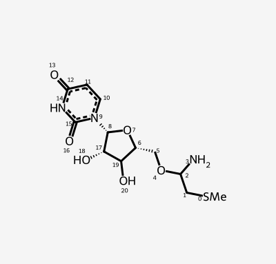 CSCC(N)OC[C@H]1O[C@@H](n2ccc(=O)[nH]c2=O)[C@@H](O)C1O